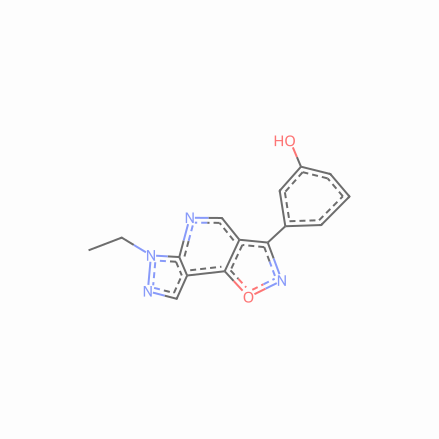 CCn1ncc2c3onc(-c4cccc(O)c4)c3cnc21